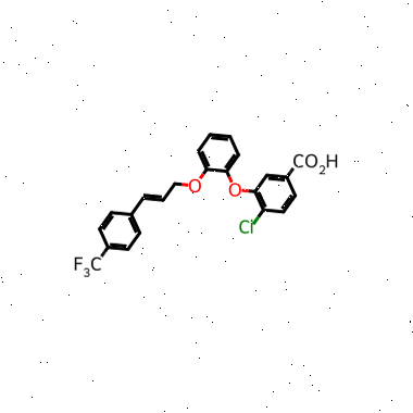 O=C(O)c1ccc(Cl)c(Oc2ccccc2OCC=Cc2ccc(C(F)(F)F)cc2)c1